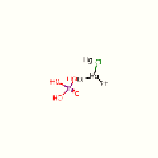 C[CH2][Hg]([Cl])[CH2]C.O=P(O)(O)O.[Hg]